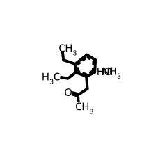 CCc1cccc(CC(C)=O)c1CC.Cl.N